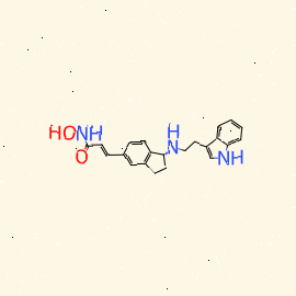 O=C(C=Cc1ccc2c(c1)CC[C@@H]2NCCc1c[nH]c2ccccc12)NO